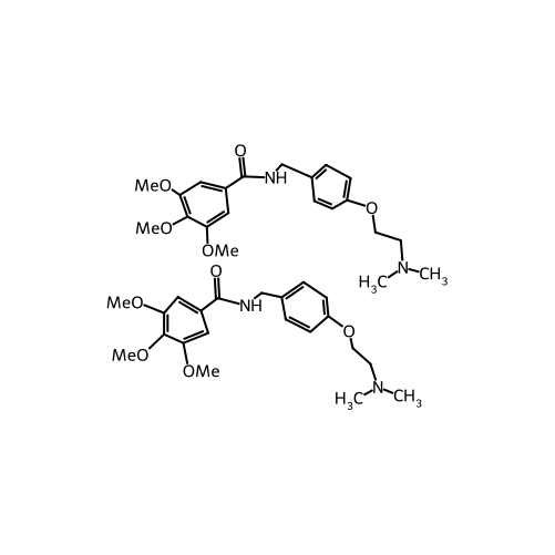 COc1cc(C(=O)NCc2ccc(OCCN(C)C)cc2)cc(OC)c1OC.COc1cc(C(=O)NCc2ccc(OCCN(C)C)cc2)cc(OC)c1OC